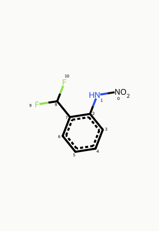 O=[N+]([O-])Nc1ccccc1C(F)F